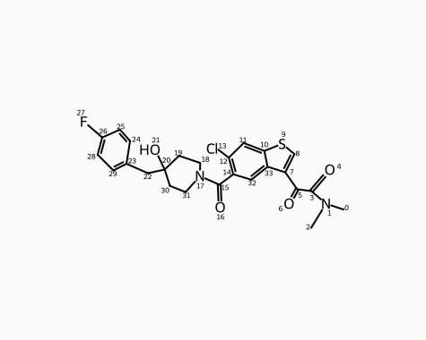 CN(C)C(=O)C(=O)c1csc2cc(Cl)c(C(=O)N3CCC(O)(Cc4ccc(F)cc4)CC3)cc12